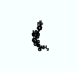 NC(=O)[C@H]1C[C@H](S(=O)(=O)N2CCC[C@H](C(=O)N3CCC[C@@H]3C(=O)NCc3ccc(C(F)(F)F)cc3)C2)C1